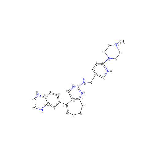 CN1CCN(c2ccc(CNc3ncc4c(n3)CCCC=C4c3ccc4nccnc4c3)cn2)CC1